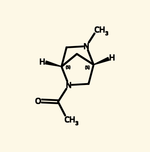 CC(=O)N1C[C@@H]2C[C@H]1CN2C